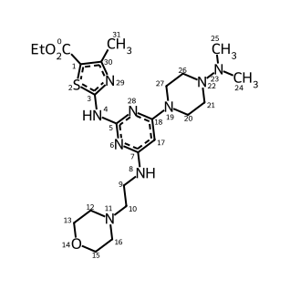 CCOC(=O)c1sc(Nc2nc(NCCN3CCOCC3)cc(N3CCN(N(C)C)CC3)n2)nc1C